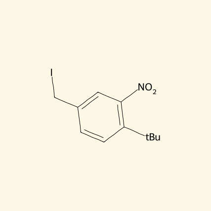 CC(C)(C)c1ccc(CI)cc1[N+](=O)[O-]